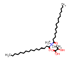 CC(O)C(=O)O.CCCCCCCCCCCCCCCC(=O)[N+](C)(C)C(=O)CCCCCCCCCCCCCCC